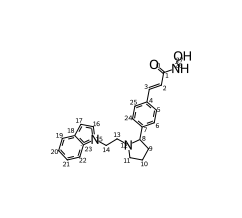 O=C(C=Cc1ccc(C2CCCN2CCn2ccc3ccccc32)cc1)NO